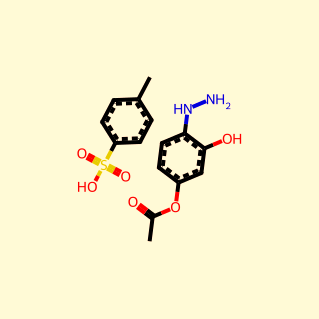 CC(=O)Oc1ccc(NN)c(O)c1.Cc1ccc(S(=O)(=O)O)cc1